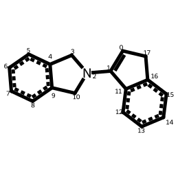 C1=C(N2Cc3ccccc3C2)c2ccccc2C1